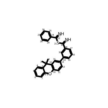 CC1(C)c2ccccc2Oc2ccc(-c3cccc(C(=N)SC(=N)c4ccccc4)c3)cc21